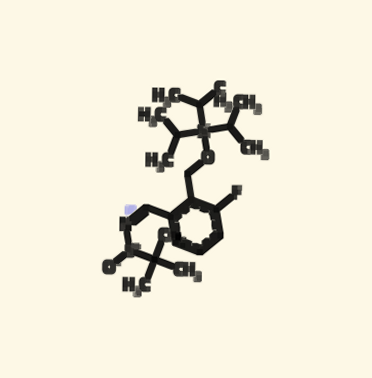 CC(C)[Si](OCc1c(F)cccc1/C=N\[S+]([O-])C(C)(C)C)(C(C)C)C(C)C